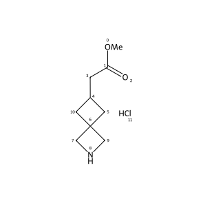 COC(=O)CC1CC2(CNC2)C1.Cl